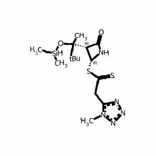 Cn1nnnc1CC(=S)S[C@H]1NC(=O)[C@H]1C(C)(O[SiH](C)C)C(C)(C)C